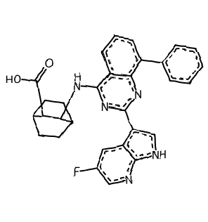 O=C(O)C1C2CCC(CC2)C1Nc1nc(-c2c[nH]c3ncc(F)cc23)nc2c(-c3ccccc3)cccc12